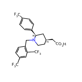 O=C(O)C[C@H]1CCN(Cc2ccc(C(F)(F)F)cc2C(F)(F)F)[C@@H](c2ccc(C(F)(F)F)cc2)C1